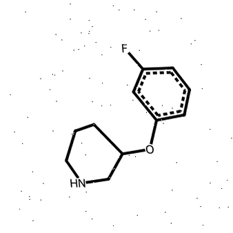 Fc1cccc(OC2CCCNC2)c1